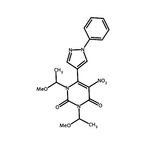 COC(C)n1c(-c2cnn(-c3ccccc3)c2)c([N+](=O)[O-])c(=O)n(C(C)OC)c1=O